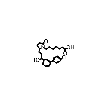 O=C(O)CCCCCCN1C(=O)CCC1C=CC(O)c1cccc(-c2ccc(Cl)cc2)c1